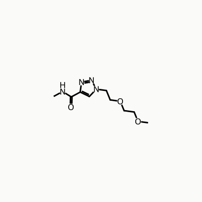 CNC(=O)c1cn(CCOCCOC)nn1